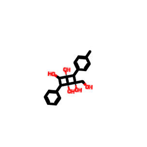 Cc1ccc(C2[C@]3(O)C(O)C(c4ccccc4)[C@]3(O)[C@]2(O)CO)cc1